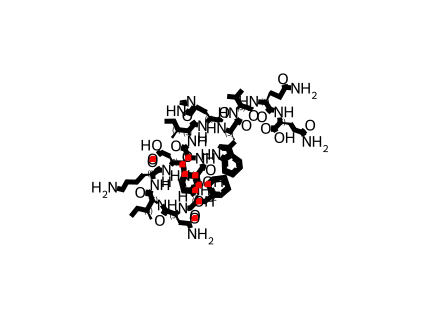 CC[C@H](C)[C@H](NC(=O)[C@H](Cc1ccc(O)cc1)NC(=O)[C@@H](NC(=O)[C@H](CC(=O)O)NC(=O)[C@H](CCCCN)NC(=O)[C@@H](NC(=O)[C@H](CC(N)=O)NC(=O)[C@@H](N)Cc1ccccc1)[C@@H](C)CC)[C@@H](C)O)C(=O)N[C@@H](Cc1c[nH]cn1)C(=O)N[C@@H](Cc1c[nH]c2ccccc12)C(=O)N[C@H](C(=O)N[C@@H](CCC(N)=O)C(=O)N[C@@H](CCC(N)=O)C(=O)O)C(C)C